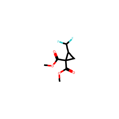 COC(=O)C1(C(=O)OC)CC1C(F)F